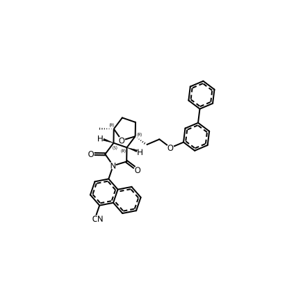 C[C@]12CC[C@](CCOc3cccc(-c4ccccc4)c3)(O1)[C@@H]1C(=O)N(c3ccc(C#N)c4ccccc34)C(=O)[C@@H]12